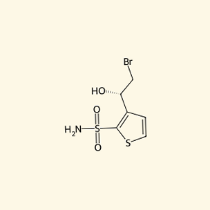 NS(=O)(=O)c1sccc1[C@H](O)CBr